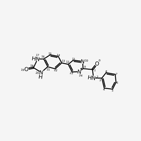 O=C(Nc1ccccc1)c1ncc(-c2ccc3[nH]c(=O)[nH]c3c2)cn1